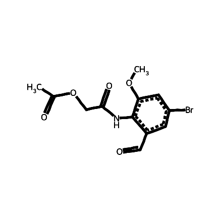 COc1cc(Br)cc(C=O)c1NC(=O)COC(C)=O